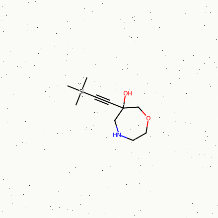 C[Si](C)(C)C#CC1(O)CNCCOC1